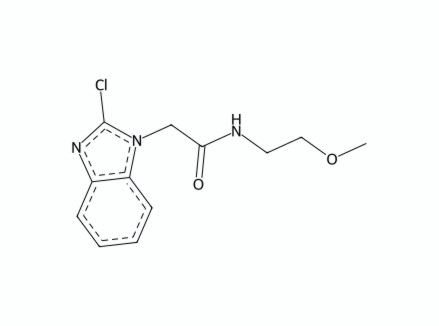 COCCNC(=O)Cn1c(Cl)nc2ccccc21